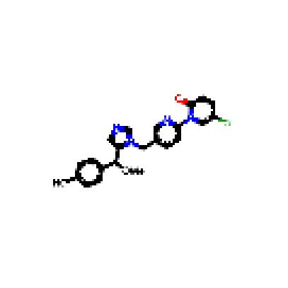 COC(c1ccc(C#N)cc1)c1cncn1Cc1ccc(-n2cc(Cl)ccc2=O)nc1